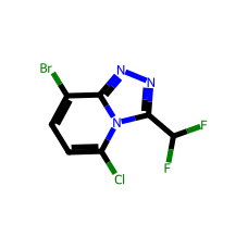 FC(F)c1nnc2c(Br)ccc(Cl)n12